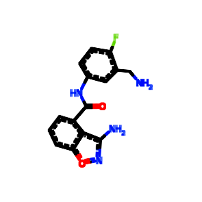 NCc1cc(NC(=O)c2cccc3onc(N)c23)ccc1F